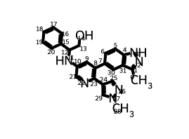 Cc1n[nH]c2ccc(-c3cc(NC(CO)c4ccccc4)cnc3-c3cnn(C)c3)cc12